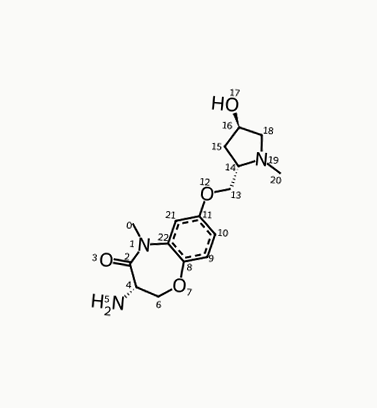 CN1C(=O)[C@@H](N)COc2ccc(OC[C@@H]3C[C@@H](O)CN3C)cc21